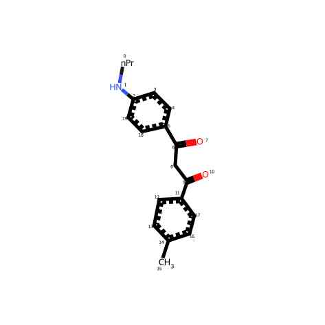 CCCNc1ccc(C(=O)CC(=O)c2ccc(C)cc2)cc1